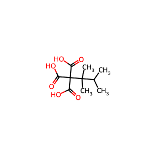 CC(C)C(C)(C)C(C(=O)O)(C(=O)O)C(=O)O